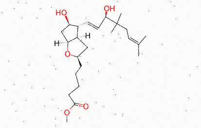 COC(=O)CCCC[C@@H]1C[C@@H]2[C@@H](C=C[C@@H](O)C(C)(C)CC=C(C)C)[C@H](O)C[C@@H]2O1